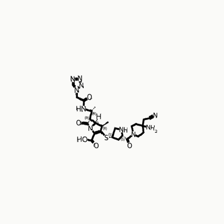 C[C@@H](NC(=O)Cn1cnnn1)[C@H]1C(=O)N2C(C(=O)O)=C(S[C@@H]3CN[C@H](C(=O)N4CCC(N)(CC#N)CC4)C3)[C@H](C)[C@H]12